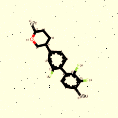 CCCCc1ccc(-c2ccc(C3CCC(CCC)OC3)cc2F)c(F)c1F